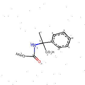 COC(=O)NC(C)(C(=O)O)c1ccccc1